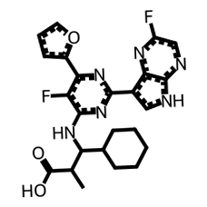 CC(C(=O)O)C(Nc1nc(-c2c[nH]c3ncc(F)nc23)nc(-c2ccco2)c1F)C1CCCCC1